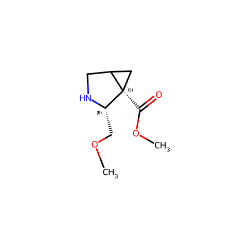 COC[C@@H]1NCC2C[C@]21C(=O)OC